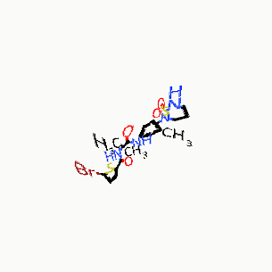 Cc1cc(NC(=O)C(C)(C)NC(=O)c2ccc(Br)s2)ccc1N1CCCNS1(=O)=O